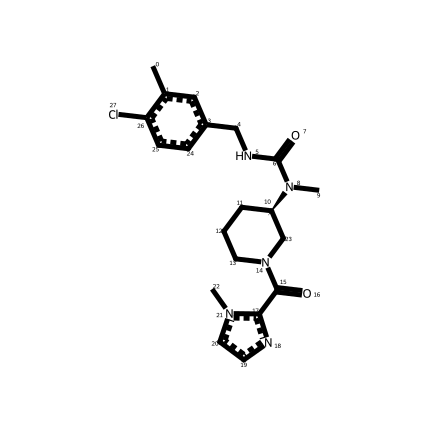 Cc1cc(CNC(=O)N(C)[C@@H]2CCCN(C(=O)c3nccn3C)C2)ccc1Cl